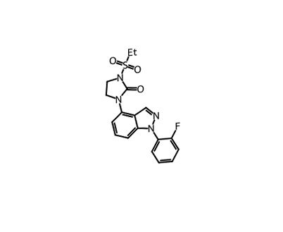 CCS(=O)(=O)N1CCN(c2cccc3c2cnn3-c2ccccc2F)C1=O